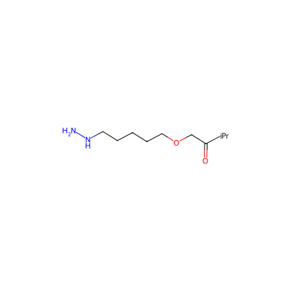 CC(C)C(=O)COCCCCCNN